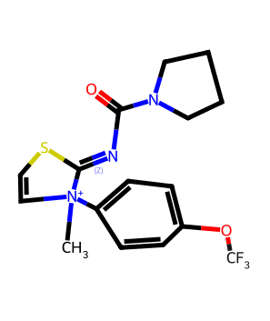 C[N+]1(c2ccc(OC(F)(F)F)cc2)C=CS/C1=N\C(=O)N1CCCC1